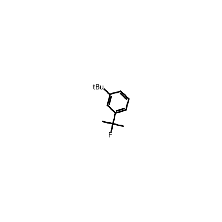 CC(C)(C)c1cccc(C(C)(C)F)c1